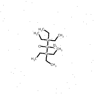 C[CH2][Ge]([CH2]C)([CH2]C)[Ge]([CH3])([Cl])[Ge]([CH2]C)([CH2]C)[CH2]C